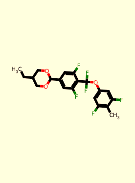 CCC1COC(c2cc(F)c(C(F)(F)Oc3cc(F)c(C)c(F)c3)c(F)c2)OC1